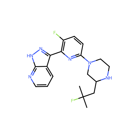 CC(C)(F)CC1CN(c2ccc(F)c(-c3n[nH]c4ncccc34)n2)CCN1